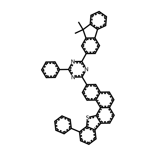 CC1(C)c2ccccc2-c2ccc(-c3nc(-c4ccccc4)nc(-c4ccc5c(ccc6ccc7c8cccc(-c9ccccc9)c8sc7c65)c4)n3)cc21